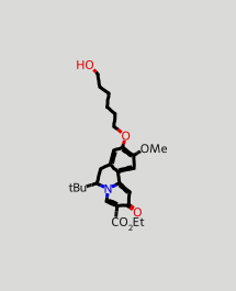 CCOC(=O)c1cn2c(cc1=O)-c1cc(OC)c(OCCCCCCO)cc1CC2C(C)(C)C